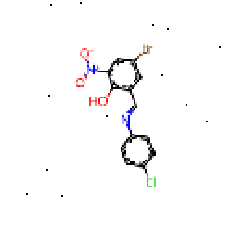 O=[N+]([O-])c1cc(Br)cc(/C=N/c2ccc(Cl)cc2)c1O